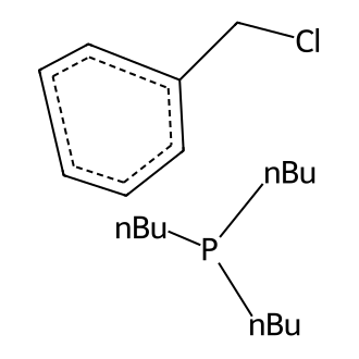 CCCCP(CCCC)CCCC.ClCc1ccccc1